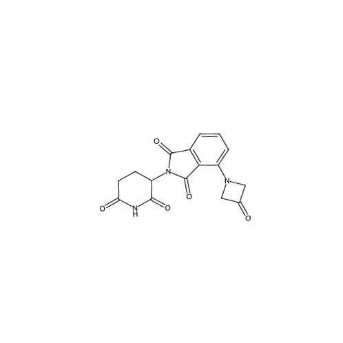 O=C1CN(c2cccc3c2C(=O)N(C2CCC(=O)NC2=O)C3=O)C1